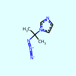 CC(C)(N=[N+]=[N-])n1ccnc1